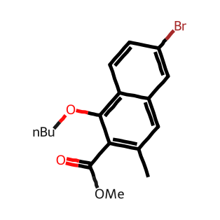 CCCCOc1c(C(=O)OC)c(C)cc2cc(Br)ccc12